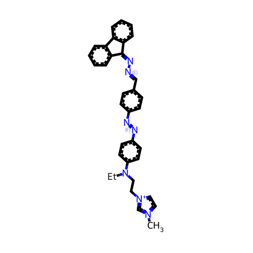 CCN(CC[n+]1ccn(C)c1)c1ccc(/N=N/c2ccc(/C=N/N=C3c4ccccc4-c4ccccc43)cc2)cc1